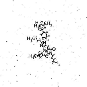 CCCCc1ncc(C=C2C(=O)N(CCCC)C(=O)N2Cc2ccc(C)s2)n1Cc1ccc(C(=O)OC(C)(C)C)cc1